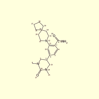 CN1CC(c2ccc(C(N)=O)c(N3CCC4(CCCC4)CC3)c2)CN(C)C1=O